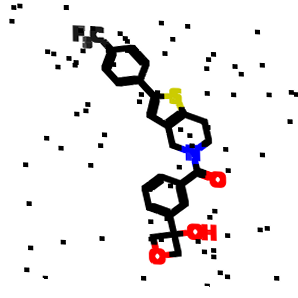 O=C(c1cccc(C2(O)COC2)c1)N1CCc2sc(-c3ccc(C(F)(F)F)cc3)cc2C1